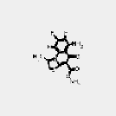 C[C@@H]1CSc2c(C(=O)ON)c(=O)c3c(N)c(F)c(F)c(F)c3n21